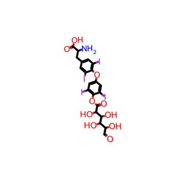 NC(Cc1cc(I)c(Oc2cc(I)c(OC(=O)C(O)C(O)C(O)C(O)C=O)c(I)c2)c(I)c1)C(=O)O